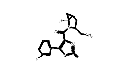 Cc1nc(C(=O)N2C(CN)CC3C[C@@H]32)c(-c2cccc(F)c2)s1